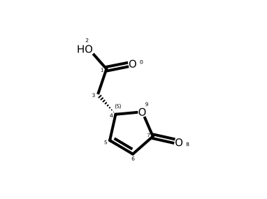 O=C(O)C[C@H]1C=CC(=O)O1